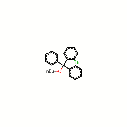 CCCCOC(c1ccccc1)(c1ccccc1)c1ccccc1Br